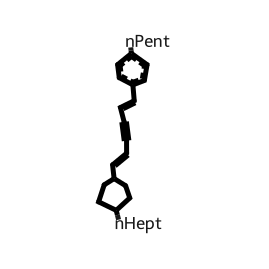 CCCCCCCC1CCC(C=CC#CC=Cc2ccc(CCCCC)cc2)CC1